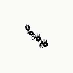 O=C(Nc1ccc(Oc2ccncc2)cc1)c1ccc(Nc2ccnc3ccccc23)cc1